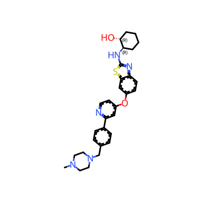 CN1CCN(Cc2ccc(-c3cc(Oc4ccc5nc(N[C@@H]6CCCC[C@H]6O)sc5c4)ccn3)cc2)CC1